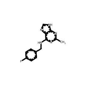 Cc1nc(NCc2ccc(F)cc2)c2nc[nH]c2n1